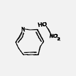 O=[N+]([O-])O.c1ccncc1